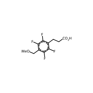 COCc1c(F)c(F)c(CCC(=O)O)c(F)c1F